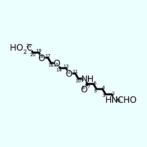 O=CNCCCCCC(=O)NCCOCCOCCOCCC(=O)O